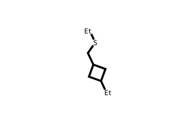 CCSCC1CC(CC)C1